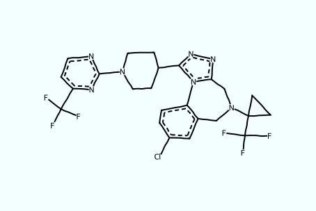 FC(F)(F)c1ccnc(N2CCC(c3nnc4n3-c3ccc(Cl)cc3CN(C3(C(F)(F)F)CC3)C4)CC2)n1